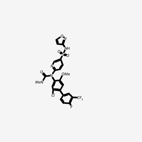 CNC(=O)N(c1ccc(S(=O)(=O)Nc2ccon2)cn1)c1cc(Cl)c(-c2ccc(F)c(C(F)(F)F)c2)cc1OC